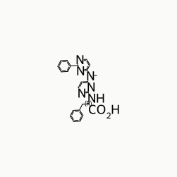 CN(c1ccnc(N[C@H](Cc2ccccc2)C(=O)O)n1)c1ccnc(-c2ccccc2)n1